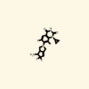 Cc1c(N2CC3=CC(F)(F)C(N)C3C2)c(F)cc2c(=O)[nH]c(=O)n(C3CC3)c12